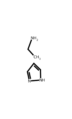 CCN.c1cn[nH]c1